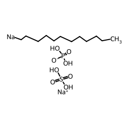 CCCCCCCCCCC[CH2][Na].O=P([O-])(O)O.O=S(=O)(O)O.[Na+]